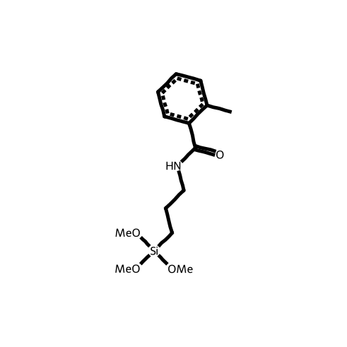 CO[Si](CCCNC(=O)c1ccccc1C)(OC)OC